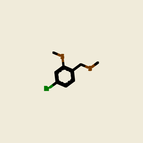 CSCc1ccc(Br)cc1SC